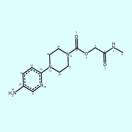 CNC(=O)COC(=O)N1CCN(c2ccc(N)cn2)CC1